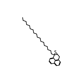 CCCCCCCCCCCCCCCCCCC12SC1Cc1cccc3cccc2c13